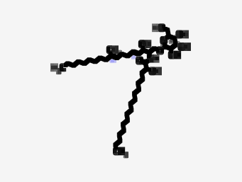 CCCCCCCCCCCCCCCCC(O)C(=O)NC(CO[C@@H]1OC(CO)[C@H](O)[C@H](O)C1O)C(O)/C=C/CC/C=C(\C)CCCCCCCCC